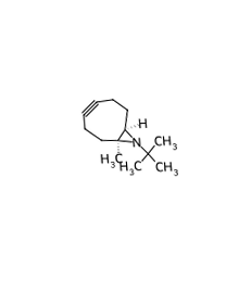 CC(C)(C)N1[C@@H]2CCC#CCC[C@@]21C